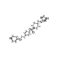 O=C(Oc1ccc(CCSc2ccncc2)cc1)N1CCC(CSc2nc[nH]n2)CC1